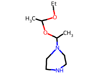 CCOC(C)OC(C)N1CCNCC1